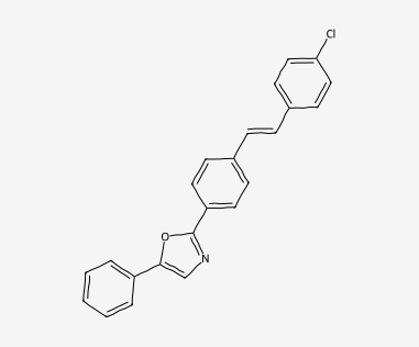 Clc1ccc(/C=C/c2ccc(-c3ncc(-c4ccccc4)o3)cc2)cc1